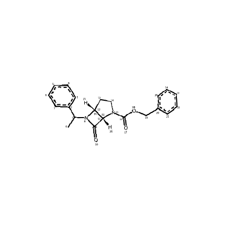 CC(c1ccccc1)N1C(=O)[C@@H]2[C@H]1CCN2C(=O)OCc1ccccc1